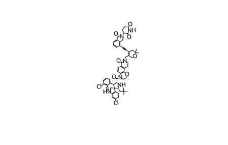 CC(C)(C)C[C@@H]1N[C@@H](C(=O)N2CCOc3c2ccc2c3CCN(CC3=C(C#Cc4cccc5c4CN(C4CCC(=O)NC4=O)C5=O)CC(C)(C)OC3)C2=O)[C@H](c2cccc(Cl)c2F)[C@]12CNc1cc(Cl)ccc12